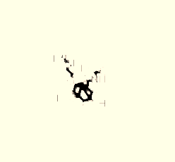 C=C(C)NCC12CC3(C)CC(C)(C1)CC(OCCNC)(C3)C2